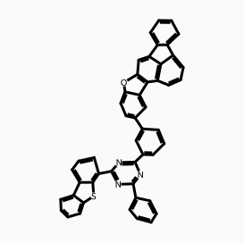 c1ccc(-c2nc(-c3cccc(-c4ccc5oc6cc7c8c(cccc8c6c5c4)-c4ccccc4-7)c3)nc(-c3cccc4c3sc3ccccc34)n2)cc1